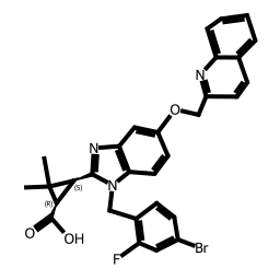 CC1(C)[C@H](C(=O)O)[C@@H]1c1nc2cc(OCc3ccc4ccccc4n3)ccc2n1Cc1ccc(Br)cc1F